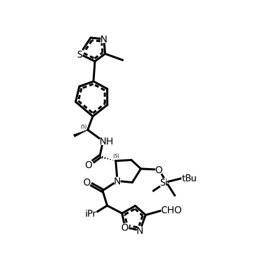 Cc1ncsc1-c1ccc([C@H](C)NC(=O)[C@@H]2CC(O[Si](C)(C)C(C)(C)C)CN2C(=O)C(c2cc(C=O)no2)C(C)C)cc1